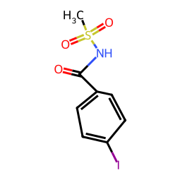 CS(=O)(=O)NC(=O)c1ccc(I)cc1